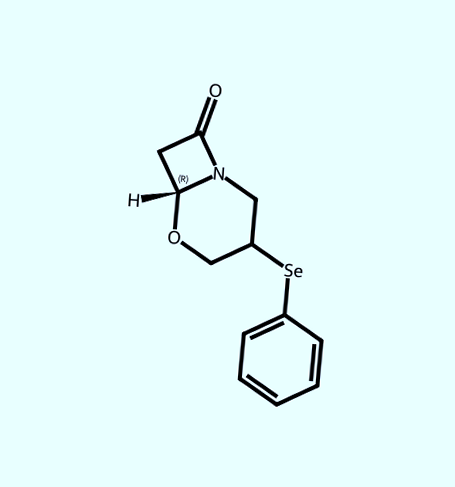 O=C1C[C@H]2OCC([Se]c3ccccc3)CN12